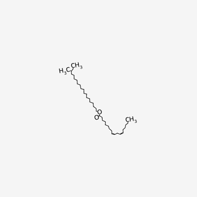 CCCCC/C=C\C/C=C\CCCCCCCC(=O)OCCCCCCCCCCCCCCCCCC(C)CC